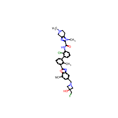 Cc1c(-c2nc3cc(CN4CC(O)(CF)C4)cc(C#N)c3o2)cccc1-c1cccc(NC(=O)c2nc3c(n2C)CCN(C)C3)c1Cl